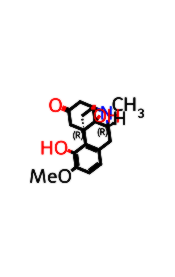 COc1ccc2c(c1O)[C@]13CCN(C)[C@H](C2)C1(O)CCC(=O)C3